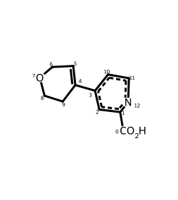 O=C(O)c1cc(C2=CCOCC2)ccn1